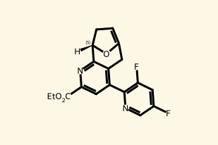 CCOC(=O)c1cc(-c2ncc(F)cc2F)c2c(n1)[C@@H]1CC=C(C2)O1